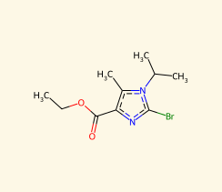 CCOC(=O)c1nc(Br)n(C(C)C)c1C